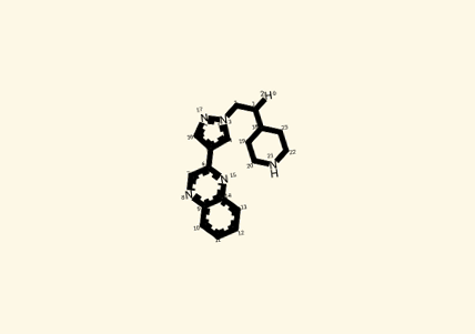 [2H]C(Cn1cc(-c2cnc3ccccc3n2)cn1)C1CCNCC1